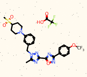 Cc1nc(-c2nc(-c3ccc(OC(F)(F)F)cc3)no2)nn1Cc1cccc(N2CCC(S(C)(=O)=O)CC2)c1.O=C(O)C(F)(F)F